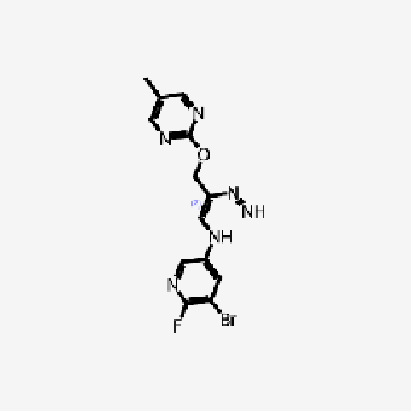 Cc1cnc(OC/C(=C/Nc2cnc(F)c(Br)c2)N=N)nc1